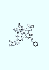 C[C@@H](OC1(C)CCC1)[C@H](NC(=O)OCc1ccccc1)C(=O)N1C[C@H]2[C@@H]([C@H]1C(=O)N[C@@H](C[C@@H]1CCNC1=O)C(N)=O)C2(C)C